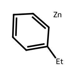 CCc1ccccc1.[Zn]